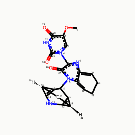 COc1cn(-c2nc3c(n(C4C5=C6NC7=C4[C@H]7C[C@@H]65)c2=O)=CCCC=3)c(=O)[nH]c1=O